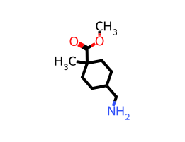 COC(=O)C1(C)CCC(CN)CC1